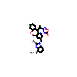 CCCc1nc2c(OC)cccc2n1Cc1ccc2c(c1)COc1cc(F)ccc1/C2=C(\C)c1noc(=O)[nH]1